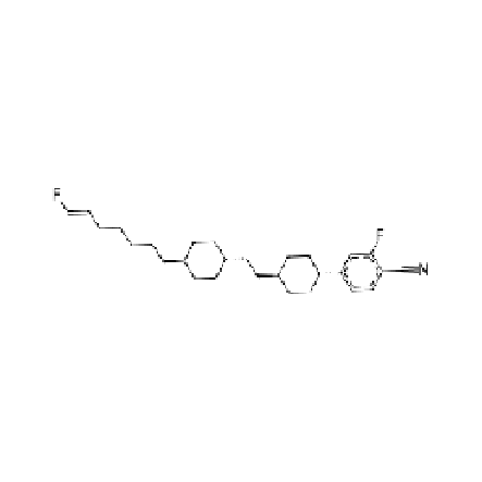 N#Cc1ccc([C@H]2CC[C@H](CC[C@H]3CC[C@H](CCCCCC=CF)CC3)CC2)cc1F